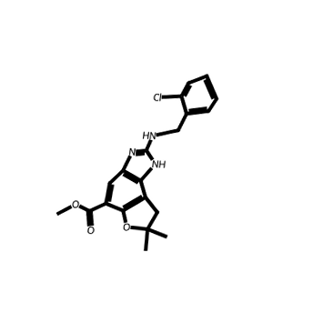 COC(=O)c1cc2nc(NCc3ccccc3Cl)[nH]c2c2c1OC(C)(C)C2